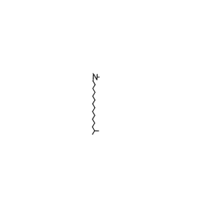 CC(C)CCCCCCCCCCCCCN(C)C